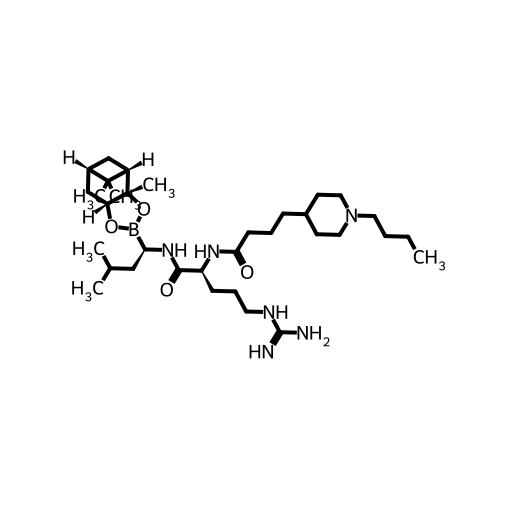 CCCCN1CCC(CCCC(=O)N[C@@H](CCCNC(=N)N)C(=O)N[C@@H](CC(C)C)B2O[C@@H]3C[C@@H]4C[C@@H](C4(C)C)[C@]3(C)O2)CC1